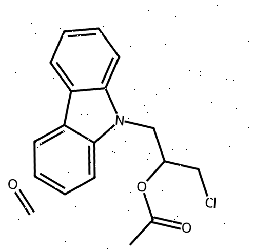 C=O.CC(=O)OC(CCl)Cn1c2ccccc2c2ccccc21